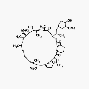 COC1CC(C[C@H](C)[C@@H]2CC(=O)[C@H](C)/C=C(\C)C(O)[C@@H](OC)C(=O)[C@H](C)C[C@H](C)/C=C/C=C/C=C(\C)[C@@H](OC)C[C@@H]3CC[C@@H](C)[C@@](O)(O3)C(=O)C(=O)N3CCCC[C@H]3C(=O)O2)CCC1O